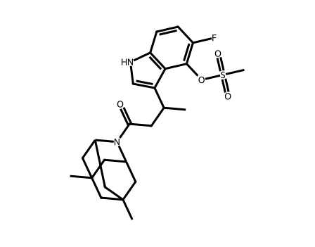 CC(CC(=O)N1C2CC3(C)CC1CC(C)(C2)C3)c1c[nH]c2ccc(F)c(OS(C)(=O)=O)c12